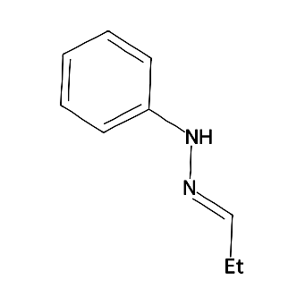 CCC=NNc1ccccc1